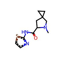 CN1CC2(CC2)CC1C(=O)Nc1nccs1